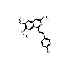 COc1cc2cc(C)nc(C=Cc3ccc(Cl)cc3)c2cc1OC